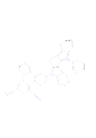 N#Cc1ccc(-c2ccc(-n3c4ccccc4c4c3ccc3c5ccccc5n(-c5ccccc5)c34)cc2-c2ccccc2)c(C#N)c1